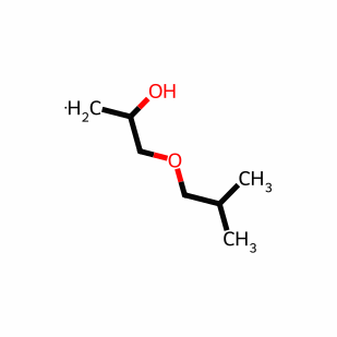 [CH2]C(O)COCC(C)C